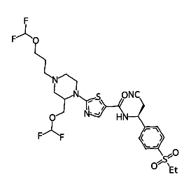 CCS(=O)(=O)c1ccc([C@H](CC#N)NC(=O)c2cnc(N3CCN(CCCOC(F)F)CC3COC(F)F)s2)cc1